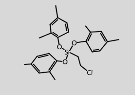 Cc1ccc(O[Si](CCCl)(Oc2ccc(C)cc2C)Oc2ccc(C)cc2C)c(C)c1